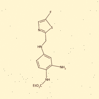 CCOC(=O)Nc1ccc(NCc2ncc(F)s2)cc1N